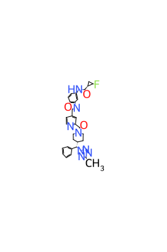 Cc1nnn([C@H](c2ccccc2)C2CCN(C(=O)c3cc(-c4nc5cc(NC(=O)[C@H]6C[C@H]6F)ccc5o4)ccn3)CC2)n1